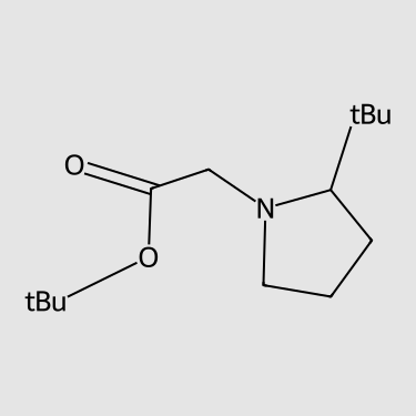 CC(C)(C)OC(=O)CN1CCCC1C(C)(C)C